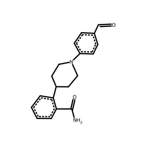 NC(=O)c1ccccc1C1CCN(c2ccc(C=O)cc2)CC1